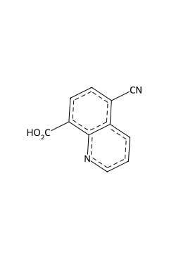 N#Cc1ccc(C(=O)O)c2ncccc12